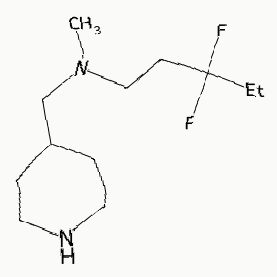 CCC(F)(F)CCN(C)CC1CCNCC1